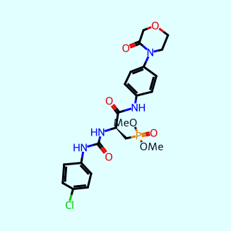 COP(=O)(C[C@@H](NC(=O)Nc1ccc(Cl)cc1)C(=O)Nc1ccc(N2CCOCC2=O)cc1)OC